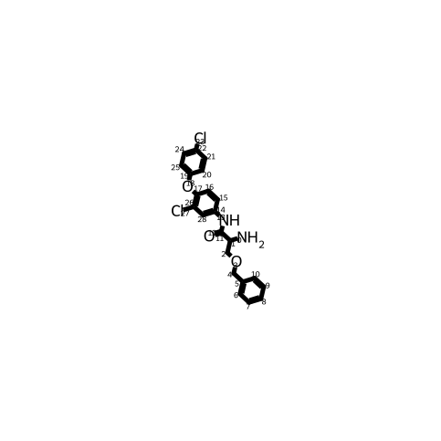 NC(COCc1ccccc1)C(=O)Nc1ccc(Oc2ccc(Cl)cc2)c(Cl)c1